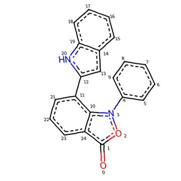 O=c1on(-c2ccccc2)c2c(-c3cc4ccccc4[nH]3)cccc12